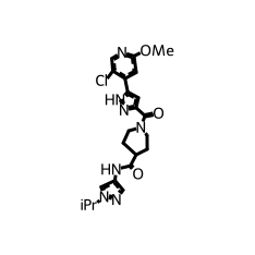 COc1cc(-c2cc(C(=O)N3CCC(C(=O)Nc4cnn(C(C)C)c4)CC3)n[nH]2)c(Cl)cn1